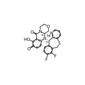 O=C1c2c(O)c(=O)ccn2N([C@H]2c3ccc(F)c(F)c3CSc3cccnc32)[C@@H]2COCCN12